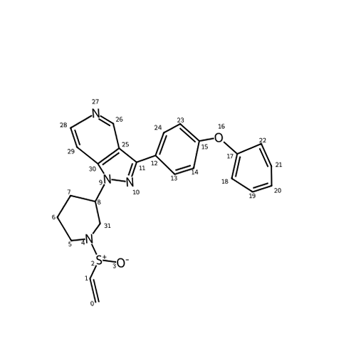 C=C[S+]([O-])N1CCCC(n2nc(-c3ccc(Oc4ccccc4)cc3)c3cnccc32)C1